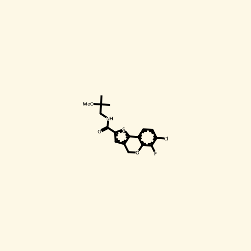 COC(C)(C)CNC(=O)c1cc2c(s1)-c1ccc(Cl)c(F)c1OC2